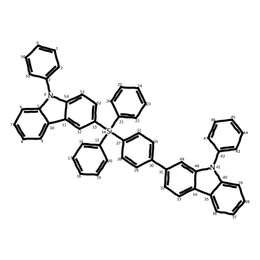 c1ccc(-n2c3ccccc3c3cc([Si](c4ccccc4)(c4ccccc4)c4ccc(-c5ccc6c7ccccc7n(-c7ccccc7)c6c5)cc4)ccc32)cc1